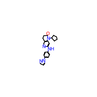 O=C1CCc2cnc(Nc3ccc(-n4cccn4)cc3)cc2N1C1CCCC1